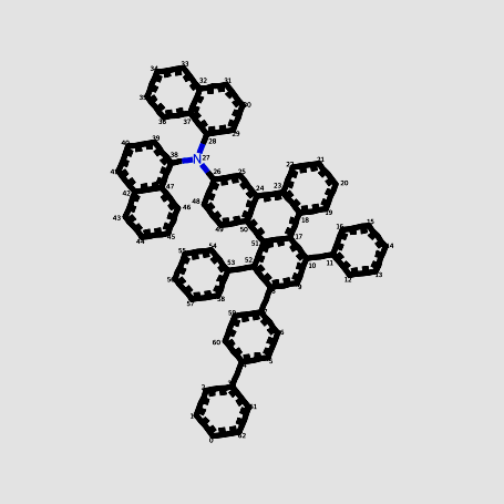 c1ccc(-c2ccc(-c3cc(-c4ccccc4)c4c5ccccc5c5cc(N(c6cccc7ccccc67)c6cccc7ccccc67)ccc5c4c3-c3ccccc3)cc2)cc1